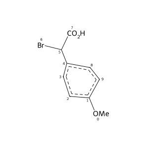 COc1ccc(C(Br)C(=O)O)cc1